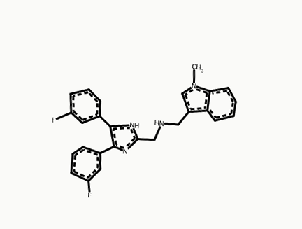 Cn1cc(CNCc2nc(-c3cccc(F)c3)c(-c3cccc(F)c3)[nH]2)c2ccccc21